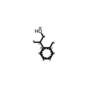 Cc1ccccc1C(C)CO